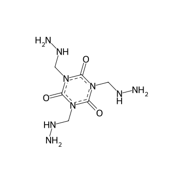 NNCn1c(=O)n(CNN)c(=O)n(CNN)c1=O